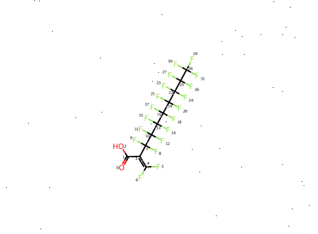 O=C(O)C(=C(F)F)C(F)(F)C(F)(F)C(F)(F)C(F)(F)C(F)(F)C(F)(F)C(F)(F)C(F)(F)F